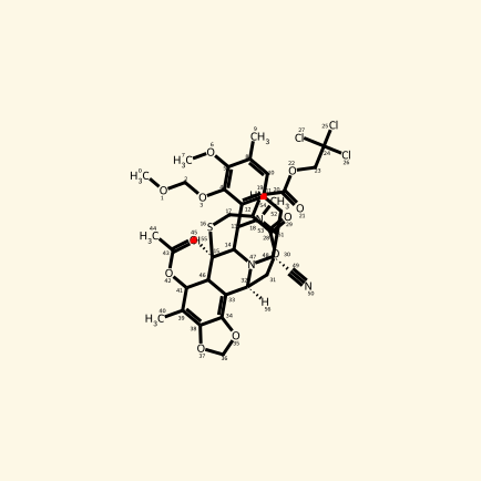 COCOc1c(OC)c(C)cc2c1C1C3[C@@H]4SCC(NC(=O)OCC(Cl)(Cl)Cl)C(=O)OC[C@@H](C5=C6OCOC6=C(C)C(OC(C)=O)C54)N3[C@@H](C#N)C(C2)N1C